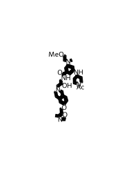 COCCN(C)c1cc(NC2CCN(C(C)=O)CC2)cc(C(=O)NC[C@@H](O)CN2CCc3cc(OCc4ocnc4C)ccc3C2)c1